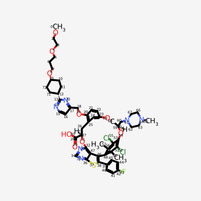 COCCOCCCO[C@H]1CC[C@H](c2nccc(COc3ccc4cc3C[C@H](C(=O)O)Oc3ncnc5sc(-c6ccc(F)cc6)c(c35)-c3c(C)c(Cl)c(c(Cl)c3C)O[C@H](CN3CCN(C)CC3)CO4)n2)CC1